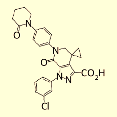 O=C(O)c1nn(-c2cccc(Cl)c2)c2c1C1(CC1)CN(c1ccc(N3CCCCC3=O)cc1)C2=O